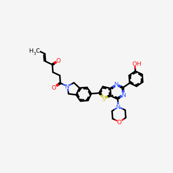 CC=CC(=O)CCC(=O)N1Cc2ccc(-c3cc4nc(-c5cccc(O)c5)nc(N5CCOCC5)c4s3)cc2C1